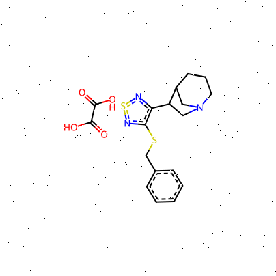 O=C(O)C(=O)O.c1ccc(CSc2nsnc2C2CN3CCCC2C3)cc1